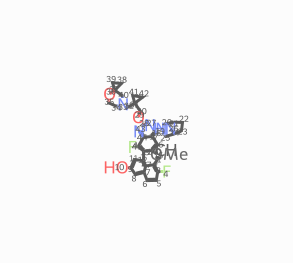 C#Cc1c(F)ccc2cc(O)cc(-c3c(OC)cc4c(N5CC6CCC(C5)N6)nc(OCC5(CN6CCOC7(CC7)C6)CC5)nc4c3F)c12